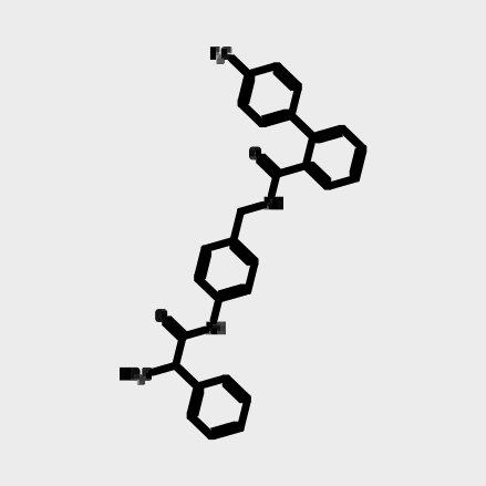 O=C(NCc1ccc(NC(=O)C(c2ccccc2)S(=O)(=O)O)cc1)c1ccccc1-c1ccc(C(F)(F)F)cc1